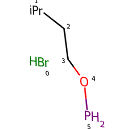 Br.CC(C)CCOP